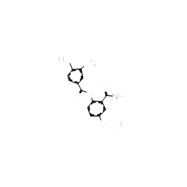 N#Cc1cc(C(=O)Oc2ccc(C(=O)O)cc2C(N)=O)ccc1O